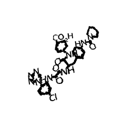 O=C(Nc1cc(Cl)ccc1-n1cnnn1)C(=O)NC(Cc1ccc(NC(=O)N2CCCCC2)cc1)C(=O)Nc1ccc(C(=O)O)cc1